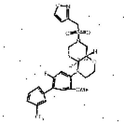 COc1cc(-c2cccc(C(F)(F)F)c2)c(F)cc1N1CCO[C@H]2CN(S(=O)(=O)Cc3ccon3)CC[C@@H]21